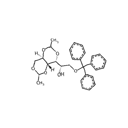 CC1OC[C@H]2OC(C)O[C@H]([C@@H](O)COC(c3ccccc3)(c3ccccc3)c3ccccc3)[C@@H]2O1